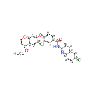 O=C(O)OC1CCOc2cc(Oc3ccc(C(=O)Nc4ccc5cc(Cl)ccc5n4)cc3)c(Cl)cc21